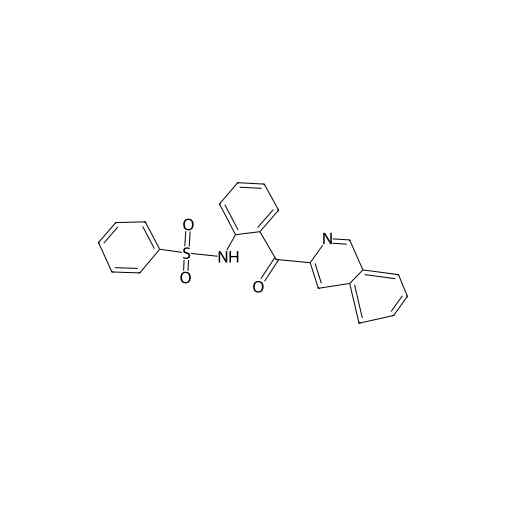 O=C(c1cc2ccccc2cn1)c1ccccc1NS(=O)(=O)c1ccccc1